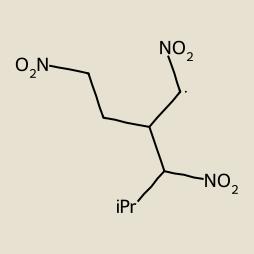 CC(C)C(C([CH][N+](=O)[O-])CC[N+](=O)[O-])[N+](=O)[O-]